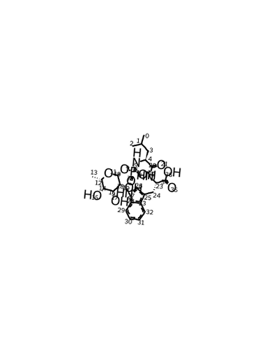 CC(C)C[C@H](NP(=O)(O)O[C@@H]1O[C@@H](C)[C@@H](O)[C@@H](O)[C@H]1O)C(=O)N[C@@H](Cc1c[nH]c2ccccc12)C(=O)O